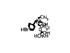 Br.CC[N+](CC)(CC)Cc1ccccc1.O=C(O)O.[KH]